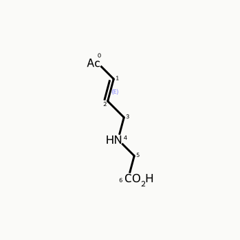 CC(=O)/C=C/CNCC(=O)O